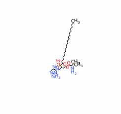 CCCCCCCCC=CCCCCCCCCCCCC(=O)C(O)C(CCOC(=O)[C@@H](N)C(C)C)Cn1cnc2cnc(N)nc21